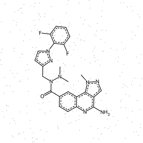 CN(C)N(Cc1ccn(-c2c(F)cccc2F)n1)C(=O)c1ccc2nc(N)c3cnn(C)c3c2c1